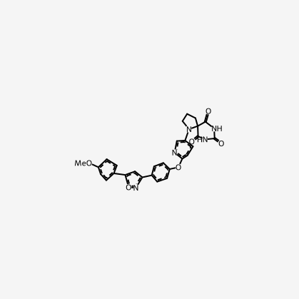 COc1ccc(-c2cc(-c3ccc(Oc4ccc(N5CCCC56C(=O)NC(=O)NC6=O)cn4)cc3)no2)cc1